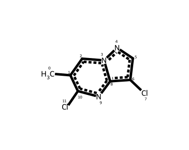 Cc1cn2ncc(Cl)c2nc1Cl